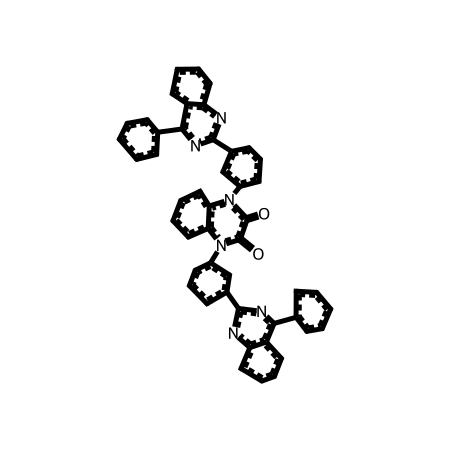 O=c1c(=O)n(-c2cccc(-c3nc(-c4ccccc4)c4ccccc4n3)c2)c2ccccc2n1-c1cccc(-c2nc(-c3ccccc3)c3ccccc3n2)c1